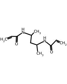 C=CC(=O)NC(C)CC(C)NC(=O)C=C